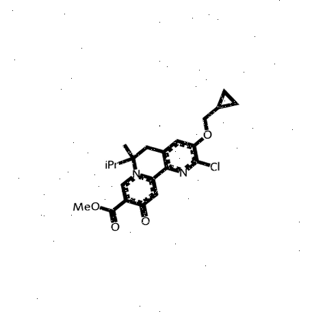 COC(=O)c1cn2c(cc1=O)-c1nc(Cl)c(OCC3CC3)cc1CC2(C)C(C)C